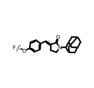 O=C1/C(=C/c2ccc(OC(F)(F)F)cc2)CCN1C1C2CC3CC(C2)CC1C3